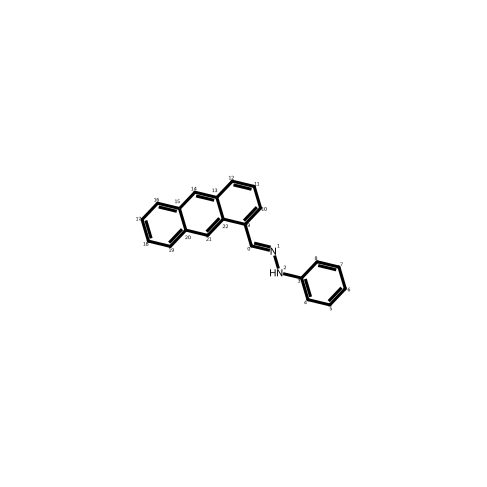 C(=NNc1ccccc1)c1cccc2cc3ccccc3cc12